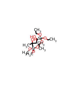 CCO[Si](OCC)(OCC)C(O)CC(C)(O)[Si](OC)(OC)OC